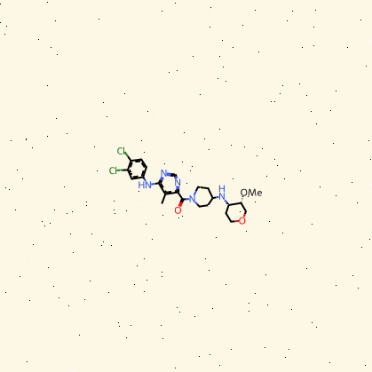 CO[C@@H]1COCCC1NC1CCN(C(=O)c2ncnc(Nc3ccc(Cl)c(Cl)c3)c2C)CC1